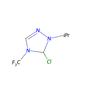 CC(C)N1N=CN(C(F)(F)F)C1Cl